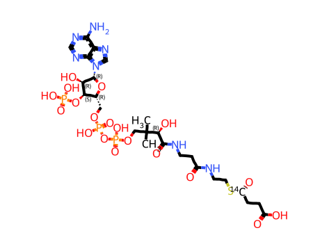 CC(C)(COP(=O)(O)OP(=O)(O)OC[C@H]1O[C@@H](n2cnc3c(N)ncnc32)[C@H](O)[C@@H]1OP(=O)(O)O)[C@@H](O)C(=O)NCCC(=O)NCCS[14C](=O)CCC(=O)O